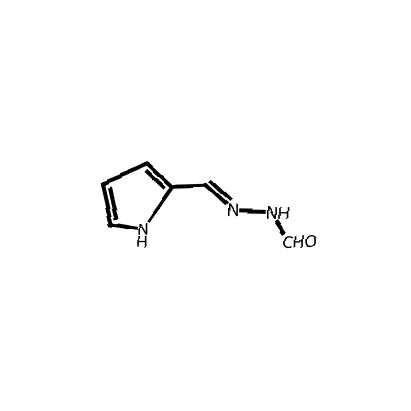 O=CNN=Cc1ccc[nH]1